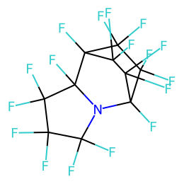 FC1(F)N2C3(F)C(F)(F)C(F)(F)C(F)(C(F)(F)C3(F)F)C2(F)C(F)(F)C1(F)F